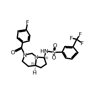 O=C(c1ccc(F)cc1)N1CC[C@@H]2CC[C@H](NS(=O)(=O)c3cccc(C(F)(F)F)c3)N2C1